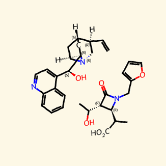 C=C[C@H]1C[N@]2CC[C@H]1C[C@@H]2[C@@H](O)c1ccnc2ccccc12.CC(O)[C@@H]1C(=O)N(Cc2ccco2)[C@H]1C(C)C(=O)O